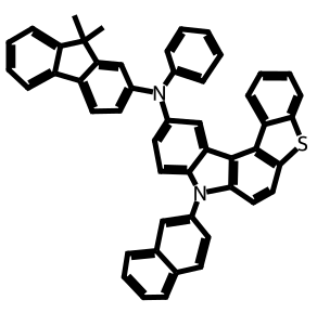 CC1(C)c2ccccc2-c2ccc(N(c3ccccc3)c3ccc4c(c3)c3c5c(ccc3n4-c3ccc4ccccc4c3)sc3ccccc35)cc21